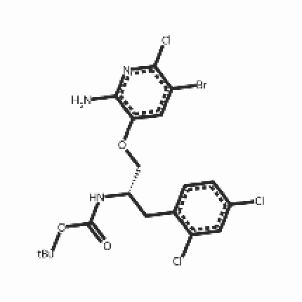 CC(C)(C)OC(=O)N[C@H](COc1cc(Br)c(Cl)nc1N)Cc1ccc(Cl)cc1Cl